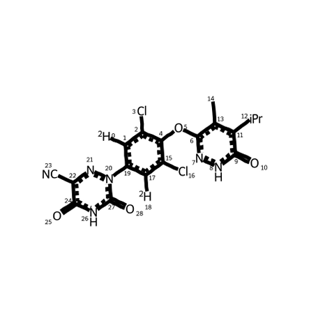 [2H]c1c(Cl)c(Oc2n[nH]c(=O)c(C(C)C)c2C)c(Cl)c([2H])c1-n1nc(C#N)c(=O)[nH]c1=O